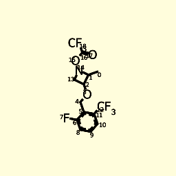 CC1C(OCc2c(F)cccc2C(F)(F)F)CN1OC(=O)C(F)(F)F